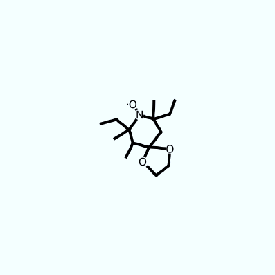 CCC1(C)CC2(OCCO2)C(C)C(C)(CC)N1[O]